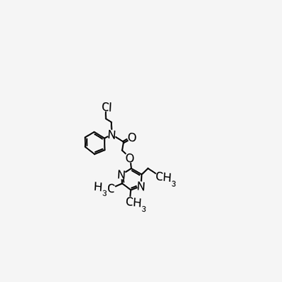 CCc1nc(C)c(C)nc1OCC(=O)N(CCCl)c1ccccc1